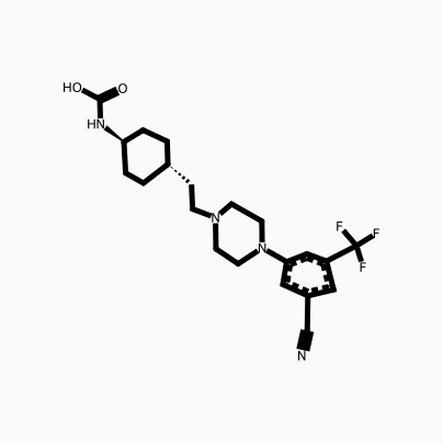 N#Cc1cc(N2CCN(CC[C@H]3CC[C@H](NC(=O)O)CC3)CC2)cc(C(F)(F)F)c1